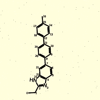 CCc1nc2ccc(-c3ccc(-c4ccc(C)cc4)cc3)cc2[nH]1